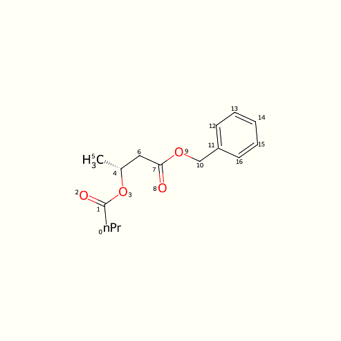 CCCC(=O)O[C@H](C)CC(=O)OCc1ccccc1